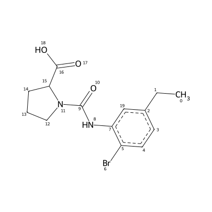 CCc1ccc(Br)c(NC(=O)N2CCCC2C(=O)O)c1